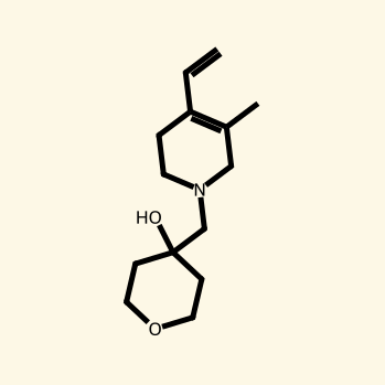 C=CC1=C(C)CN(CC2(O)CCOCC2)CC1